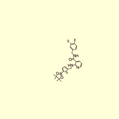 CC1(C)OB(c2ccc(CNc3ncccc3C(=O)NCc3ccc(F)c(F)c3)s2)OC1(C)C